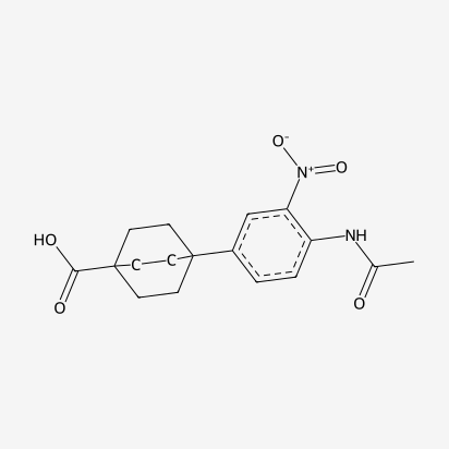 CC(=O)Nc1ccc(C23CCC(C(=O)O)(CC2)CC3)cc1[N+](=O)[O-]